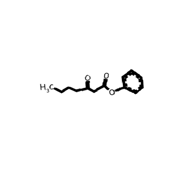 CCCCC(=O)CC(=O)Oc1ccccc1